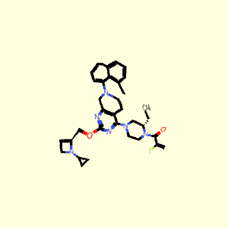 C=C(F)C(=O)N1CCN(c2nc(OC[C@@H]3CCN3C3CC3)nc3c2CCN(c2cccc4cccc(C)c24)C3)C[C@@H]1CC#N